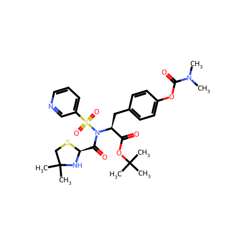 CN(C)C(=O)Oc1ccc(C[C@@H](C(=O)OC(C)(C)C)N(C(=O)[C@H]2NC(C)(C)CS2)S(=O)(=O)c2cccnc2)cc1